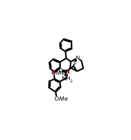 COc1ccc(OC)c(CNC2C3CCN(CC3C(N)=O)C2C(c2ccccc2)c2ccccc2)c1